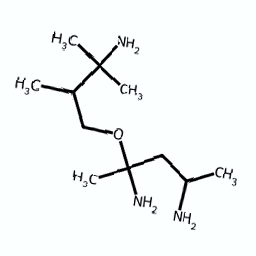 CC(N)CC(C)(N)OCC(C)C(C)(C)N